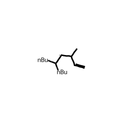 C=CC(C)[CH]C(CCCC)CCCC